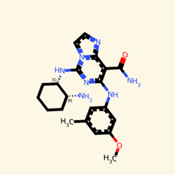 COc1cc(C)cc(Nc2nc(N[C@H]3CCCC[C@H]3N)n3ccnc3c2C(N)=O)c1